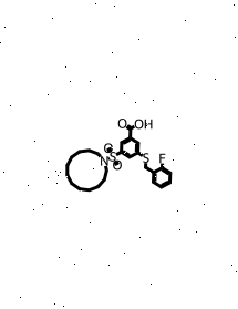 O=C(O)c1cc(SCc2ccccc2F)cc(S(=O)(=O)N2CCCCCCCCCCCC2)c1